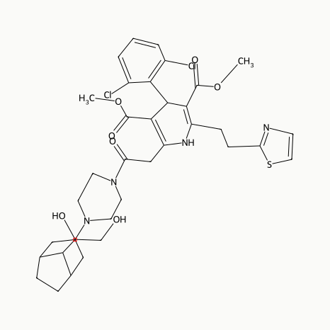 COC(=O)C1=C(CCc2nccs2)NC(CC(=O)N2CCN(C3CC4CCC(C3)C4C(O)CO)CC2)=C(C(=O)OC)C1c1c(Cl)cccc1Cl